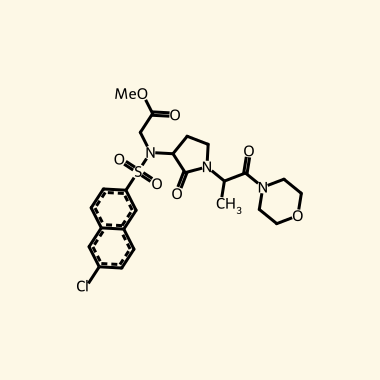 COC(=O)CN(C1CCN(C(C)C(=O)N2CCOCC2)C1=O)S(=O)(=O)c1ccc2cc(Cl)ccc2c1